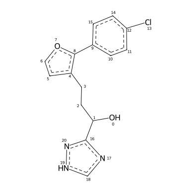 OC(CCc1ccoc1-c1ccc(Cl)cc1)c1nc[nH]n1